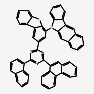 c1ccc2cc3c(cc2c1)c1ccccc1n3-c1cc(-c2nc(-c3cccc4ccccc34)nc(-c3cc4ccccc4c4ccccc34)n2)cc2c1oc1ccccc12